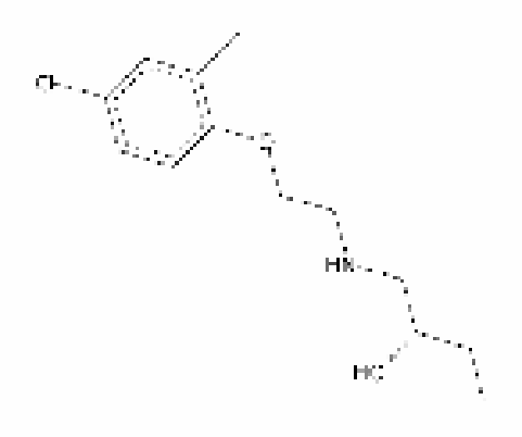 CC[C@H](O)CNCCOc1ccc(Cl)cc1C